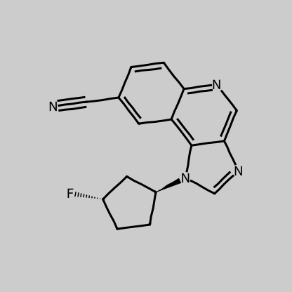 N#Cc1ccc2ncc3ncn([C@H]4CC[C@H](F)C4)c3c2c1